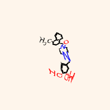 Cc1ccc(C(=O)N2CCN(Cc3ccc(O)c(O)c3)CC2)c2ccccc12